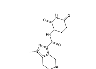 Cn1nc(C(=O)NC2CCC(=O)NC2=O)c2c1CCNC2